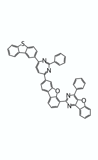 C1=CC(c2ccc3c(c2)oc2c(-c4nc(-c5ccccc5)c5oc6ccccc6c5n4)cccc23)=NC(c2ccccc2)=NC=1c1ccc2sc3ccccc3c2c1